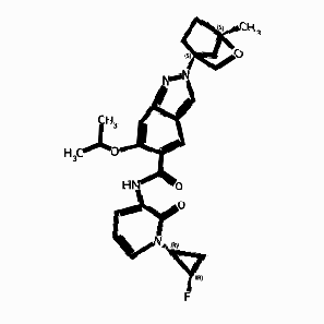 CC(C)Oc1cc2nn([C@@]34CC[C@@](C)(C3)OC4)cc2cc1C(=O)Nc1cccn([C@@H]2C[C@H]2F)c1=O